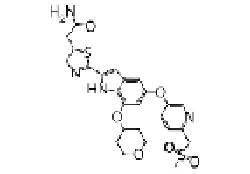 CS(=O)(=O)Cc1ccc(Oc2cc(OC3CCOCC3)c3[nH]c(C4=NCC(CC(N)=O)S4)cc3c2)cn1